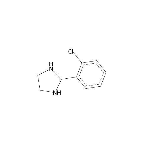 Clc1ccccc1C1NCCN1